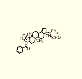 C[C@H](CC=O)[C@H]1CC=C2C3=C(CC[C@@]21C)[C@@]1(C)CC[C@H](OC(=O)c2ccccc2)C(C)(C)[C@@H]1CC3